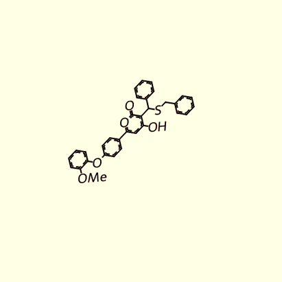 COc1ccccc1Oc1ccc(-c2cc(O)c(C(SCc3ccccc3)c3ccccc3)c(=O)o2)cc1